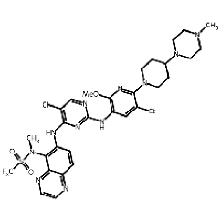 CCc1cc(Nc2ncc(Cl)c(Nc3ccc4nccnc4c3N(C)S(=O)(=O)C(F)(F)F)n2)c(OC)nc1N1CCC(N2CCN(C)CC2)CC1